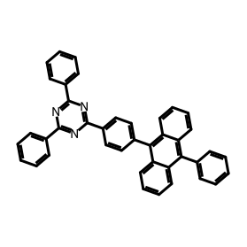 c1ccc(-c2nc(-c3ccccc3)nc(-c3ccc(-c4c5ccccc5c(-c5ccccc5)c5ccccc45)cc3)n2)cc1